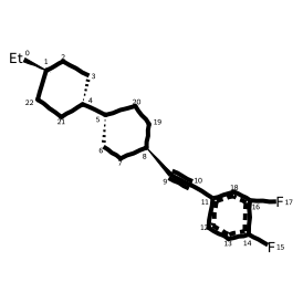 CC[C@H]1CC[C@H]([C@H]2CC[C@H](C#Cc3ccc(F)c(F)c3)CC2)CC1